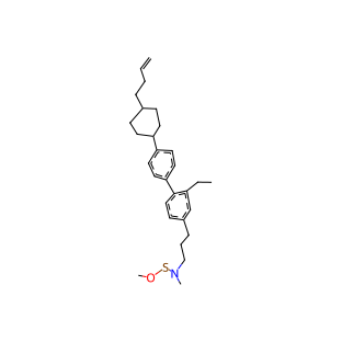 C=CCCC1CCC(c2ccc(-c3ccc(CCCN(C)SOC)cc3CC)cc2)CC1